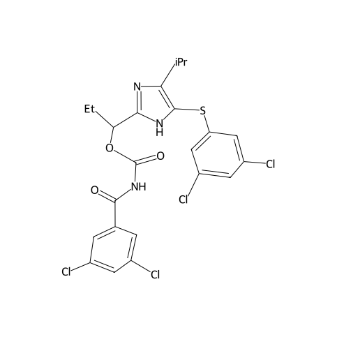 CCC(OC(=O)NC(=O)c1cc(Cl)cc(Cl)c1)c1nc(C(C)C)c(Sc2cc(Cl)cc(Cl)c2)[nH]1